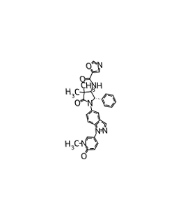 Cn1cc(-n2ncc3cc(N4C(=O)C(C)(C)[C@@H](NC(=O)c5cnco5)[C@@H]4c4ccccc4)ccc32)ccc1=O